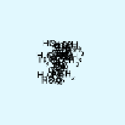 CCC(C)C(C(CC(=O)N1CCC[C@H]1C(OC)C(C)C(=O)NC(C)C(O)c1ccccc1)OC)N(C)C(=O)C(NC(=O)C(C(C)C)N(C)Cc1ccc(O)cc1)C(C)C